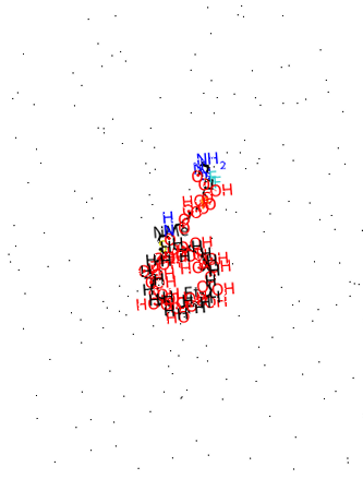 CCC1O[C@@H]2O[C@@H]3C(CO)O[C@H](O[C@@H]4C(CO)O[C@H](O[C@@H]5C(CSC[C@@H](NC)C(=O)NCCC(=O)OCC(=O)OCOP(=O)(O)OC[C@H]6O[C@@H](n7ccc(N)nc7=O)C(F)(F)[C@@H]6O)O[C@H](O[C@@H]6C(CO)O[C@H](O[C@@H]7C(CO)O[C@H](O[C@@H]8C(CO)O[C@H](O[C@H]1[C@@H](O)C2O)C(O)[C@H]8O)C(O)[C@H]7O)C(O)[C@H]6O)C(O)[C@H]5O)C(O)[C@H]4O)C(O)[C@H]3O